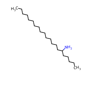 CCCCCCCCCCCCCCCC(N)CCCCC